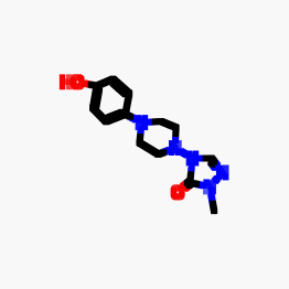 Cn1ncn(N2CCN(c3ccc(O)cc3)CC2)c1=O